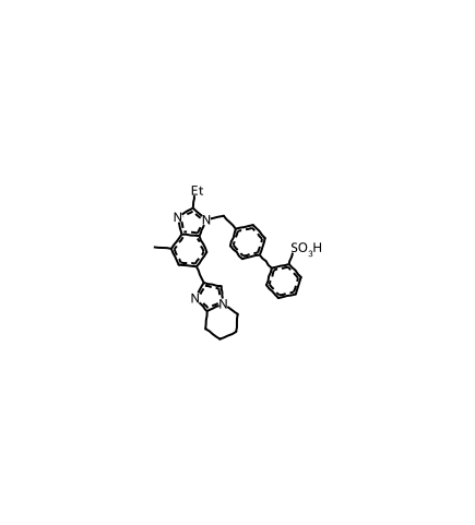 CCc1nc2c(C)cc(-c3cn4c(n3)CCCC4)cc2n1Cc1ccc(-c2ccccc2S(=O)(=O)O)cc1